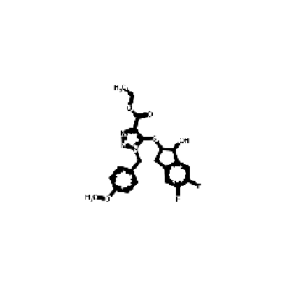 CCOC(=O)c1nnn(Cc2ccc(OC)cc2)c1SC1Cc2cc(F)c(F)cc2C1O